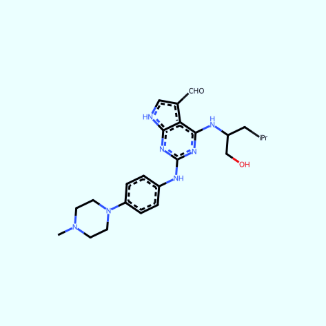 CC(C)CC(CO)Nc1nc(Nc2ccc(N3CCN(C)CC3)cc2)nc2[nH]cc(C=O)c12